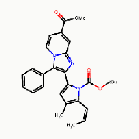 C/C=C\c1c(C)cc(-c2nc3cc(C(=O)OC)ccn3c2-c2ccccc2)n1C(=O)OC(C)(C)C